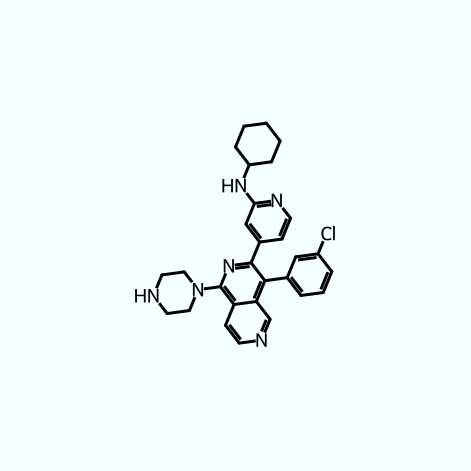 Clc1cccc(-c2c(-c3ccnc(NC4CCCCC4)c3)nc(N3CCNCC3)c3ccncc23)c1